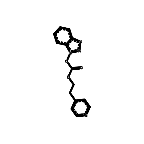 O=C(OCCc1ccncc1)On1nnc2ccccc21